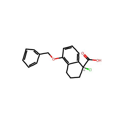 O=C(O)[C@]1(Cl)CCCc2c(OCc3ccccc3)cccc21